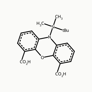 CC(C)(C)[Si](C)(C)N1c2cccc(C(=O)O)c2Oc2c(C(=O)O)cccc21